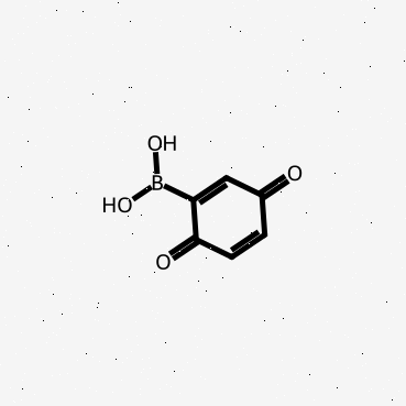 O=C1C=CC(=O)C(B(O)O)=C1